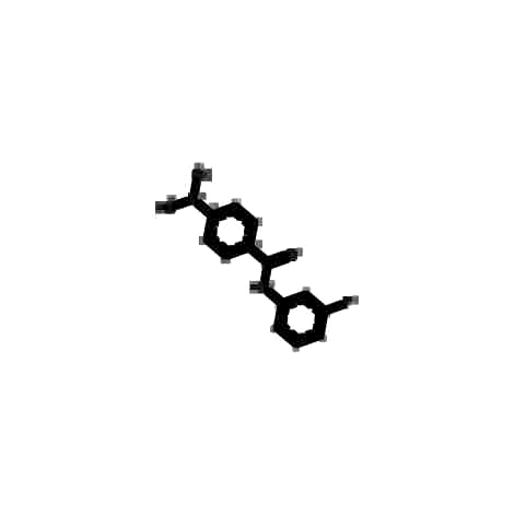 O=C(Nc1cccc(F)c1)c1ccc(B(O)O)cc1